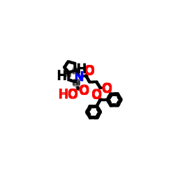 O=C(c1ccccc1)c1ccccc1OCCCC(=O)N1[C@H](C(=O)O)C[C@@H]2CCC[C@@H]21